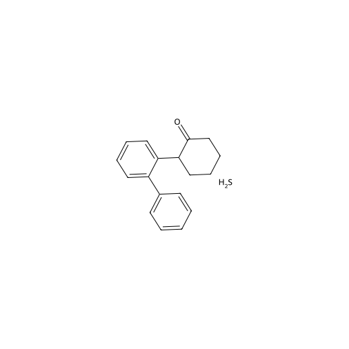 O=C1CCCCC1c1ccccc1-c1ccccc1.S